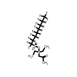 CCS(CC)(CC(C)=O)OS(=O)(=O)C(F)(F)C(F)(F)C(F)(F)C(F)(F)C(F)(F)C(F)(F)C(F)(F)C(F)(F)F